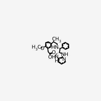 COc1ccc([C@@H](C)CN[C@H](c2ccccc2)[C@H]2CNc3cccnc3N2)cc1CC(=O)O